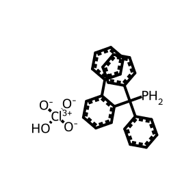 PC(c1ccccc1)(c1ccccc1)c1ccccc1-c1ccccc1.[O-][Cl+3]([O-])([O-])O